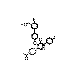 CC(=O)N1CCN(c2cnn(-c3ccc(Cl)cc3)c(=O)c2Oc2ccc(-c3ccc(F)c(CO)c3)cc2)CC1